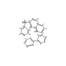 c1ccc(-c2ccccc2)cc1.c1cnc2c(c1)ccc1[nH]c3ccccc3c12